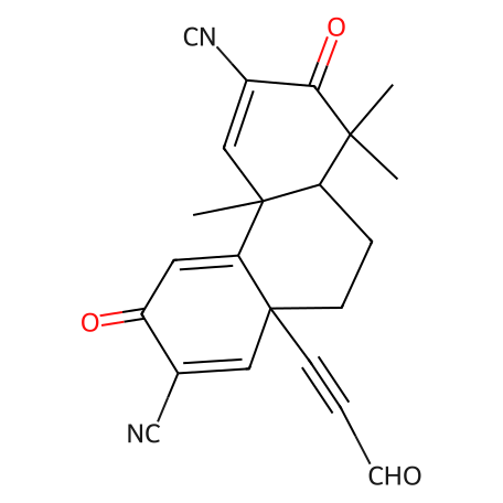 [C-]#[N+]C1=CC2(C)C3=CC(=O)C(C#N)=CC3(C#CC=O)CCC2C(C)(C)C1=O